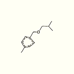 Cc1ccc(COCC(C)C)cc1